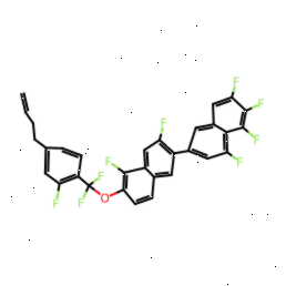 C=CCCc1ccc(C(F)(F)Oc2ccc3cc(-c4cc(F)c5c(F)c(F)c(F)cc5c4)c(F)cc3c2F)c(F)c1